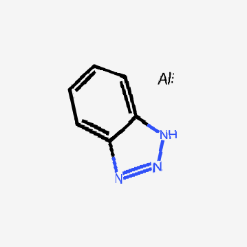 [Al].c1ccc2[nH]nnc2c1